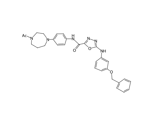 CC(=O)N1CCCN(c2ccc(NC(=O)c3nnc(Nc4cccc(OCc5ccccc5)c4)o3)cc2)CC1